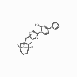 Oc1cc(-n2ccnc2)ccc1-c1cnc(O[C@@H]2C[C@H]3CCC[C@H](N3)[C@@H]2F)cn1